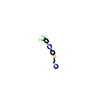 Clc1ccc(N2CCN(c3ccc(OCCCN4CCCCC4)cc3)CC2)cc1Cl